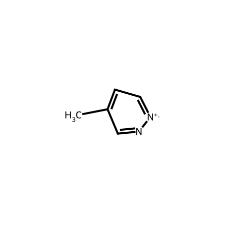 CC1=CC=[N+]N=C1